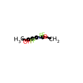 C=CCCCOc1ccc(/C=C/C2CCC(c3ccc(C4CCC(C(O)CCC)CC4)c(F)c3F)CC2)c(F)c1F